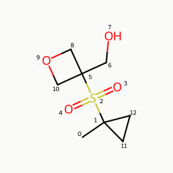 CC1(S(=O)(=O)C2(CO)COC2)CC1